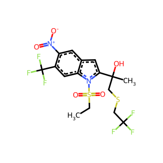 CCS(=O)(=O)n1c(C(C)(O)CSCC(F)(F)F)cc2cc([N+](=O)[O-])c(C(F)(F)F)cc21